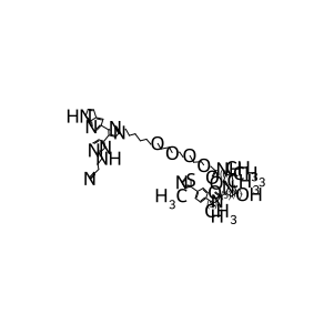 Cc1ncsc1-c1ccc([C@H](C)NC(=O)[C@@H]2C[C@@H](O)CN2C(=O)[C@H](NC(=O)COCCOCCOCCOCCCCCCn2cc(-c3ccnc(NCCC#N)n3)c(-c3cnc4[nH]ccc4c3)n2)C(C)(C)C)cc1